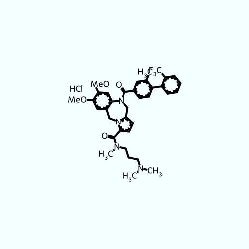 COc1cc2c(cc1OC)N(C(=O)c1ccc(-c3ccccc3C(F)(F)F)c(C)c1)Cc1ccc(C(=O)N(C)CCCN(C)C)n1C2.Cl